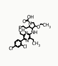 CCOC1CN(C(=O)O)C(CCF)C1Nc1nc(CC)c(-c2ccc(Cl)cc2Cl)nc1CC